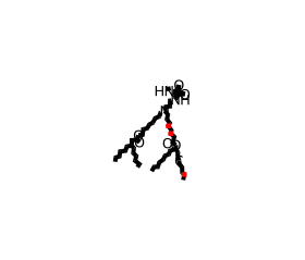 CCCCCCCCC(CCCCCCCC)OC(=O)CCCCCCCN(CCCCCCCCOC(=O)CC(CCCCCC)CCCCCC)CCCNc1c(NC)c(=O)c1=O